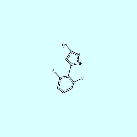 Nc1cc(-c2c(F)cccc2Cl)[nH]n1